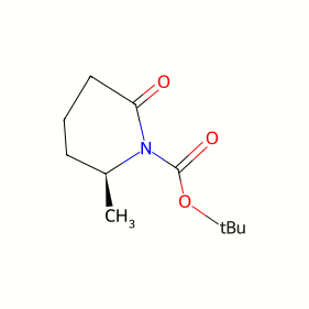 C[C@H]1CCCC(=O)N1C(=O)OC(C)(C)C